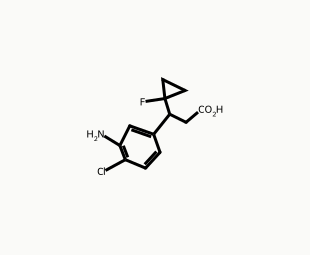 Nc1cc(C(CC(=O)O)C2(F)CC2)ccc1Cl